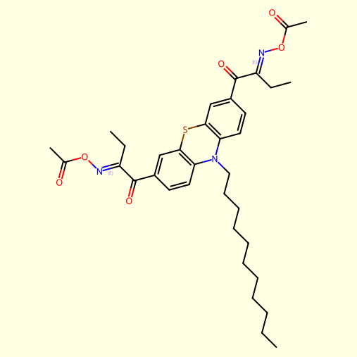 CCCCCCCCCCCN1c2ccc(C(=O)/C(CC)=N/OC(C)=O)cc2Sc2cc(C(=O)/C(CC)=N/OC(C)=O)ccc21